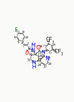 O=C(/C=C/c1ccc(F)cc1)NC1(C(=O)N(c2cc(C(F)(F)F)cc(C(F)(F)F)c2)c2ccccn2)CCNCC1